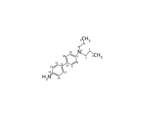 CCCN(CCC)c1ccc(-c2ccc(N)cc2)cc1